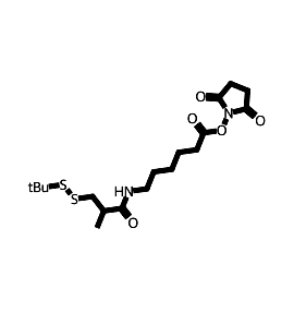 CC(CSSC(C)(C)C)C(=O)NCCCCCC(=O)ON1C(=O)CCC1=O